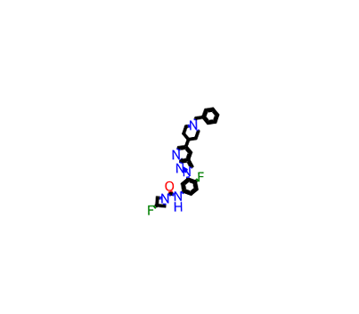 O=C(Nc1ccc(F)c(-n2cc3cc(C4CCN(Cc5ccccc5)CC4)cnc3n2)c1)N1CC(F)C1